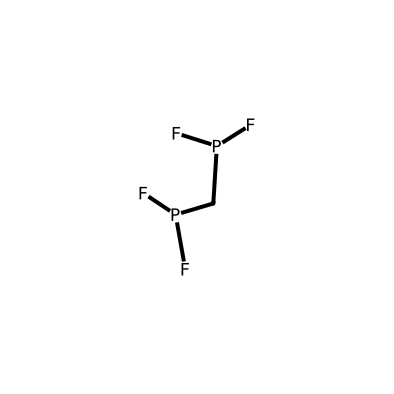 FP(F)CP(F)F